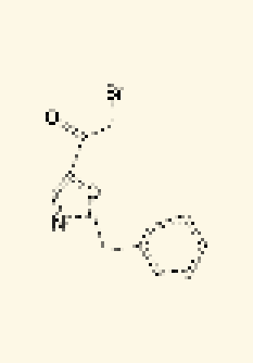 O=C(CBr)c1cnc(Cc2ccccc2)o1